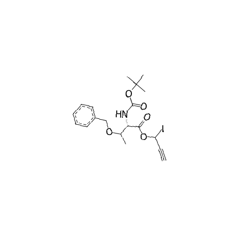 C#CC(I)OC(=O)[C@@H](NC(=O)OC(C)(C)C)C(C)OCc1ccccc1